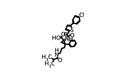 CC(C)C(=O)NCCCC1(c2ccccc2)CC1(NS(=O)(=O)c1ccc(-c2ccc(Cl)cc2)s1)C(=O)O